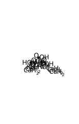 Cl.O=C(O)O.O=P(O)(O)O.O=P(O)(O)O.[CaH2].[CaH2].[CaH2].[CaH2].[CaH2].[KH]